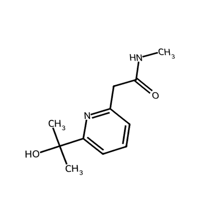 CNC(=O)Cc1cccc(C(C)(C)O)n1